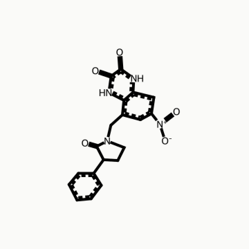 O=C1C(c2ccccc2)CCN1Cc1cc([N+](=O)[O-])cc2[nH]c(=O)c(=O)[nH]c12